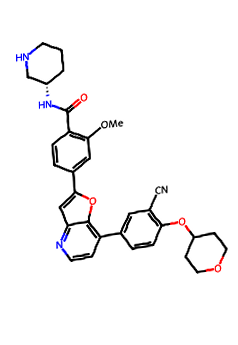 COc1cc(-c2cc3nccc(-c4ccc(OC5CCOCC5)c(C#N)c4)c3o2)ccc1C(=O)N[C@H]1CCCNC1